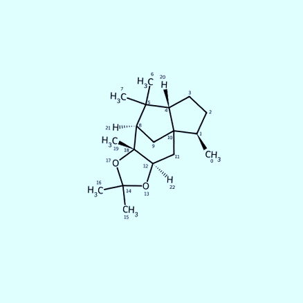 C[C@@H]1CC[C@H]2C(C)(C)[C@H]3CC12C[C@H]1OC(C)(C)O[C@]31C